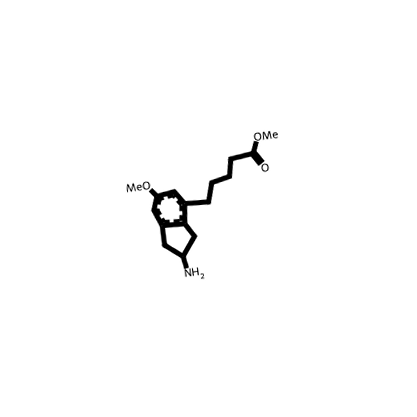 COC(=O)CCCCc1cc(OC)cc2c1CC(N)C2